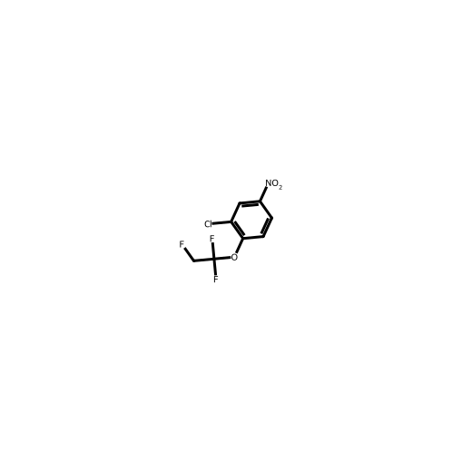 O=[N+]([O-])c1ccc(OC(F)(F)CF)c(Cl)c1